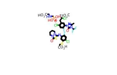 CCOC(=O)C(Cl)Cc1cc(-n2nc(C)n(C(F)F)c2=O)c(F)cc1Cl.O=C(O)CNCP(=O)(O)O.O=C(O)CSc1cc(N=c2sc(=O)n3n2CCCC3)c(F)cc1Cl